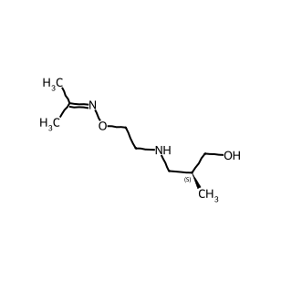 CC(C)=NOCCNC[C@H](C)CO